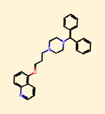 c1ccc(C(c2ccccc2)N2CCN(CCCOc3cccc4ncccc34)CC2)cc1